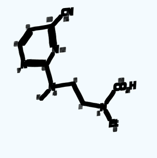 CCN(CCN(C)c1nccc(C#N)n1)C(=O)O